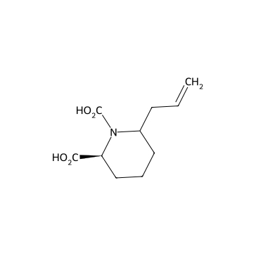 C=CCC1CCC[C@@H](C(=O)O)N1C(=O)O